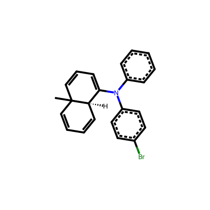 CC12C=CC=C[C@@H]1C(N(c1ccccc1)c1ccc(Br)cc1)=CC=C2